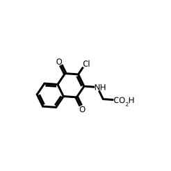 O=C(O)CNC1=C(Cl)C(=O)c2ccccc2C1=O